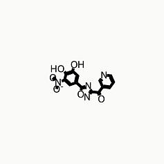 O=C(c1cccnc1)c1noc(-c2cc(O)c(O)c([N+](=O)[O-])c2)n1